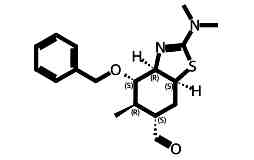 C[C@H]1[C@H](OCc2ccccc2)[C@H]2N=C(N(C)C)S[C@H]2C[C@@H]1C=O